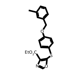 CCOC(=O)c1ncoc1Sc1ccc(OCc2cccc(C)c2)cc1